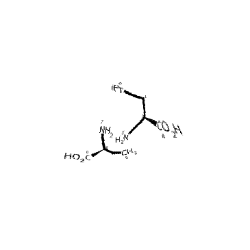 CC(C)C[C@H](N)C(=O)O.C[C@H](N)C(=O)O